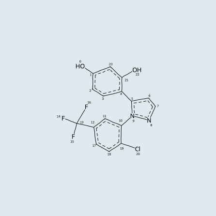 Oc1ccc(-c2ccnn2-c2cc(C(F)(F)F)ccc2Cl)c(O)c1